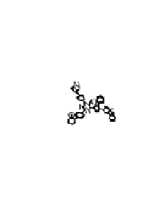 c1cncc(-c2ccc(-c3nc(-c4ccc5c(c4)oc4ccccc45)nc(-c4ccc(-c5ccc6sc7ccccc7c6c5)c5c4oc4ccccc45)n3)cc2)c1